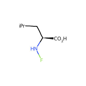 CC(C)C[C@H](NF)C(=O)O